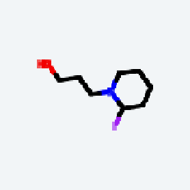 OCCCN1CCCCC1I